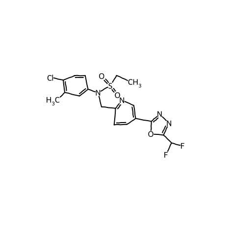 CCS(=O)(=O)N(Cc1ccc(-c2nnc(C(F)F)o2)cn1)c1ccc(Cl)c(C)c1